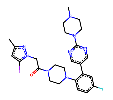 Cc1cc(I)n(CC(=O)N2CCN(c3ccc(F)cc3-c3cnc(N4CCN(C)CC4)nc3)CC2)n1